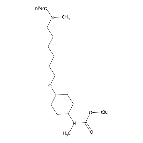 CCCCCN(C)CCCCCCOC1CCC(N(C)C(=O)OC(C)(C)C)CC1